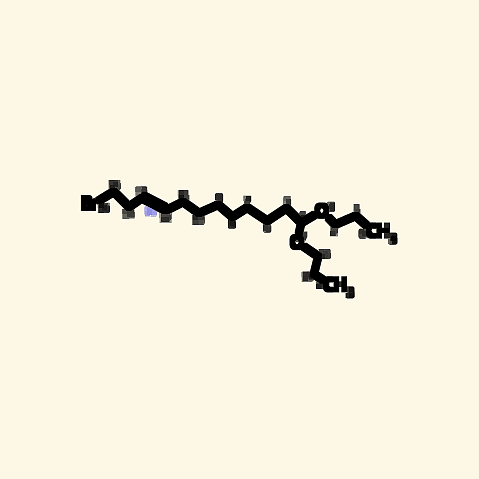 CCCOC(CCCCCCC/C=C/CCBr)OCCC